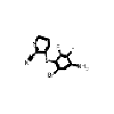 N#Cc1ncccc1Sc1c(Br)cc(N)c(F)c1F